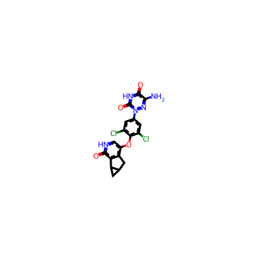 Nc1nn(-c2cc(Cl)c(Oc3c[nH]c(=O)c4c3CC3CC43)c(Cl)c2)c(=O)[nH]c1=O